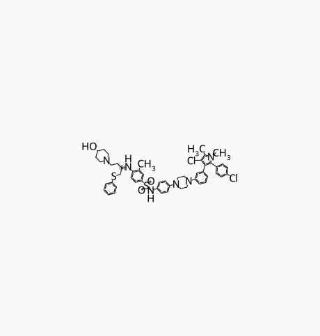 Cc1cc(S(=O)(=O)Nc2ccc(N3CCN(c4cccc(-c5c(Cl)c(C)n(C)c5-c5ccc(Cl)cc5)c4)CC3)cc2)ccc1N[C@H](CCN1CCC(O)CC1)CSc1ccccc1